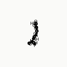 CN(C(=O)CC1CCN(c2ccc(C3CCC(=O)NC3=O)cn2)CC1)c1ccc2cc(-c3nn(C4CCCCO4)c4c3C[C@@H]3C(F)(F)[C@]3(C)C4)[nH]c2c1